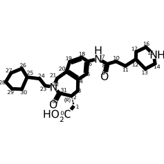 O=C(O)C[C@H]1Cc2cc(NC(=O)CCC3CCNCC3)ccc2CN(CCC2CCCCC2)C1=O